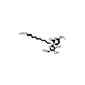 CCCCCCCCC=CCCCCCCCC[C@@]1(n2ccc(N)nc2=O)O[C@H](CO)[C@@H](O)[C@H]1O